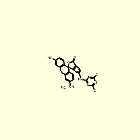 Cl.O=C1OC2(c3ccc(O)cc3Oc3cc(O)ccc32)c2cc(Nc3nc(Cl)nc(Cl)n3)ccc21